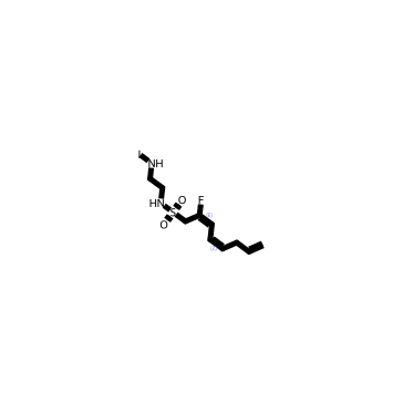 C=CC/C=C\C=C(\F)CS(=O)(=O)NCCNI